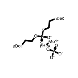 CCCCCCCCCCCCOP([O-])(=S)SCCCCCCCCCCCC.CCCCC[CH2][Mo+4].O=P([O-])([O-])[O-]